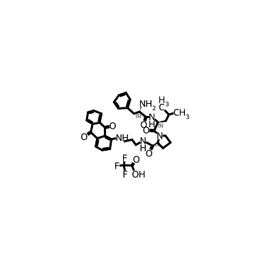 CC(C)C[C@H](NC(=O)[C@@H](N)Cc1ccccc1)C(=O)N1CCC[C@H]1C(=O)NCCCNc1cccc2c1C(=O)c1ccccc1C2=O.O=C(O)C(F)(F)F